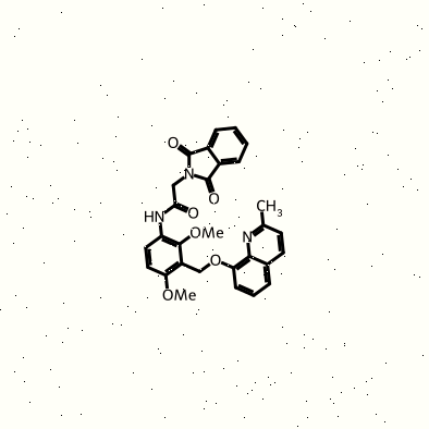 COc1ccc(NC(=O)CN2C(=O)c3ccccc3C2=O)c(OC)c1COc1cccc2ccc(C)nc12